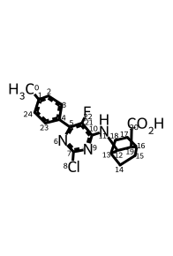 Cc1ccc(-c2nc(Cl)nc(NC3C4CCC(CC4)C3C(=O)O)c2F)cc1